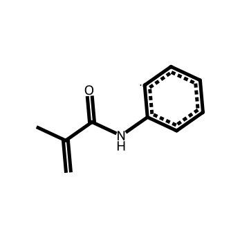 C=C(C)C(=O)Nc1[c]cccc1